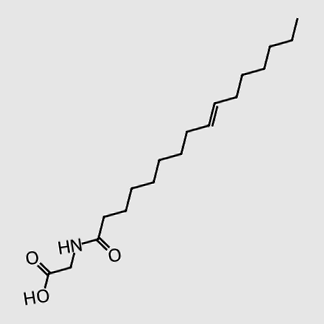 CCCCCCC=CCCCCCCCC(=O)NCC(=O)O